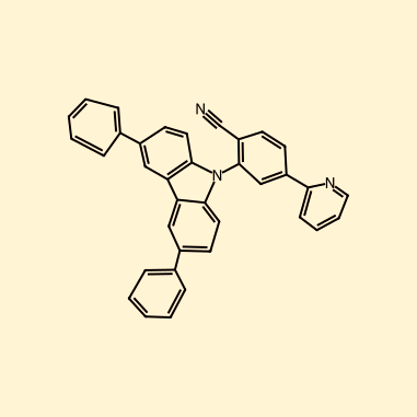 N#Cc1ccc(-c2ccccn2)cc1-n1c2ccc(-c3ccccc3)cc2c2cc(-c3ccccc3)ccc21